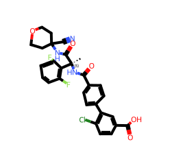 C[C@@](NC(=O)c1ccc(-c2cc(C(=O)O)ccc2Cl)cc1)(C(=O)NC1(C#N)CCOCC1)c1c(F)cccc1F